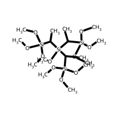 CO[Si](OC)(OC)C(C)[Si](OC)(C(C)[Si](OC)(OC)OC)C(C)[Si](OC)(OC)OC